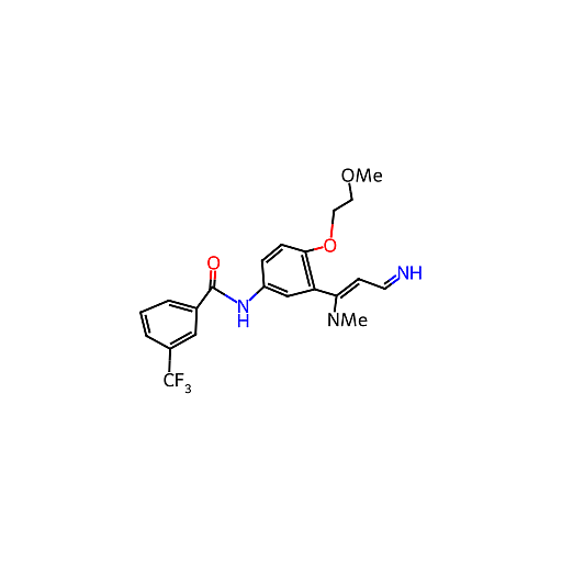 CN/C(=C\C=N)c1cc(NC(=O)c2cccc(C(F)(F)F)c2)ccc1OCCOC